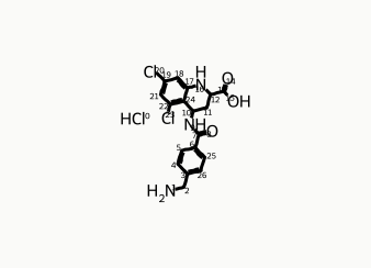 Cl.NCc1ccc(C(=O)NC2CC(C(=O)O)Nc3cc(Cl)cc(Cl)c32)cc1